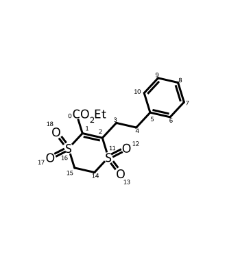 CCOC(=O)C1=C(CCc2ccccc2)S(=O)(=O)CCS1(=O)=O